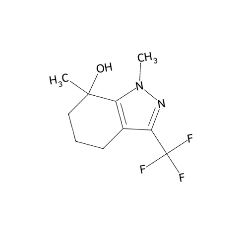 Cn1nc(C(F)(F)F)c2c1C(C)(O)CCC2